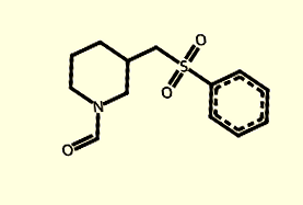 O=CN1CCCC(CS(=O)(=O)c2ccccc2)C1